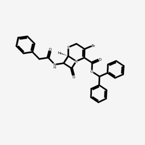 O=C(Cc1ccccc1)NC1C(=O)N2C(C(=O)OC(c3ccccc3)c3ccccc3)=C(Br)CS[C@H]12